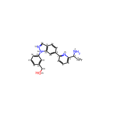 CCCC(N)c1cccc(-c2ccc3cnn(-c4cccc(CO)c4)c3c2)n1